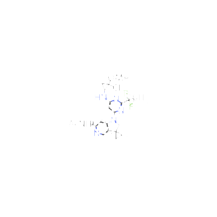 COC1(C)CC1Nc1cc(N2CC3(CC3)c3cnc(NC(C)=O)cc32)nc(C(C)(F)F)n1